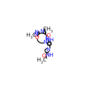 C=CC(=O)N[C@@H]1CCCN(Cc2ccc3c(c2)N2CCCCCOc4c(cnn4C)-c4cc(cc(C)n4)C(=O)/N=C/2N3)C1